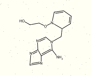 Nc1c2ncnc-2ncn1CC1C=CC=CN1OCCO